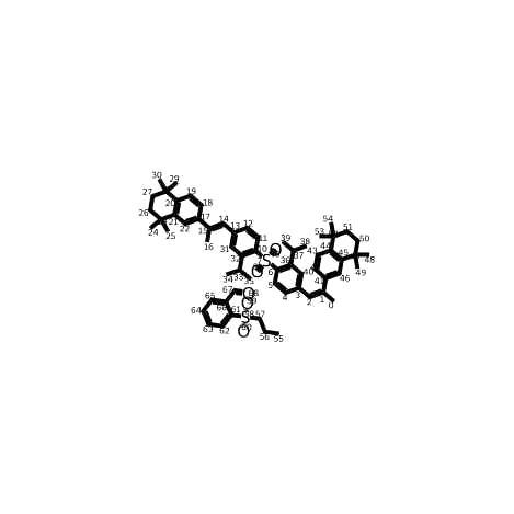 CC(=Cc1ccc(S(=O)(=O)c2ccc(C=C(C)c3ccc4c(c3)C(C)(C)CCC4(C)C)cc2C(C)C)c(C(C)C)c1)c1ccc2c(c1)C(C)(C)CCC2(C)C.CCCS(=O)(=O)c1ccccc1C=O